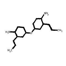 CCCC1CC(OC2CCC(N)C(CCC)C2)CCC1N